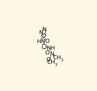 CCN(CCOC)CC(=O)Nc1cccc(NC(=O)c2cc3cncnc3s2)c1